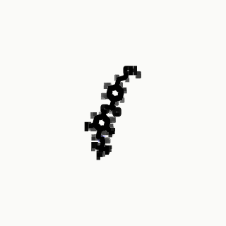 CCCc1ccc(C(=O)Oc2cc(F)c(/C=C/C(F)(F)F)c(F)c2)cc1